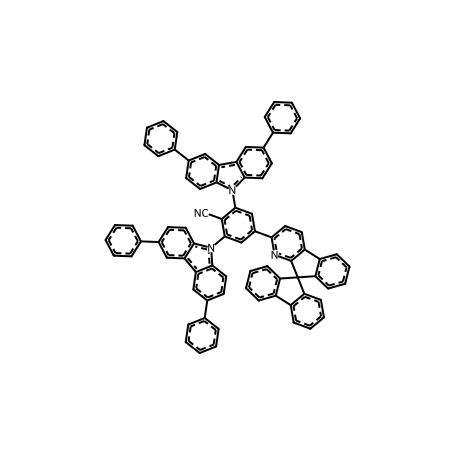 N#Cc1c(-n2c3ccc(-c4ccccc4)cc3c3cc(-c4ccccc4)ccc32)cc(-c2ccc3c(n2)C2(c4ccccc4-c4ccccc42)c2ccccc2-3)cc1-n1c2ccc(-c3ccccc3)cc2c2cc(-c3ccccc3)ccc21